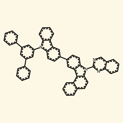 c1ccc(-c2cc(-c3ccccc3)cc(-n3c4ccccc4c4cc(-c5ccc6c(c5)c5c7ccccc7ccc5n6-c5ncc6ccccc6n5)ccc43)c2)cc1